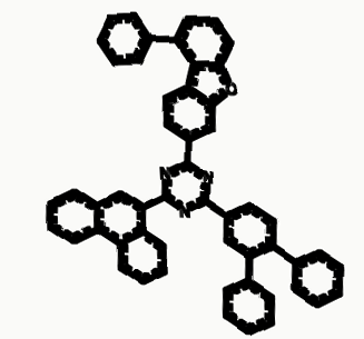 c1ccc(-c2ccc(-c3nc(-c4ccc5c(c4)oc4cccc(-c6ccccc6)c45)nc(-c4cc5ccccc5c5ccccc45)n3)cc2-c2ccccc2)cc1